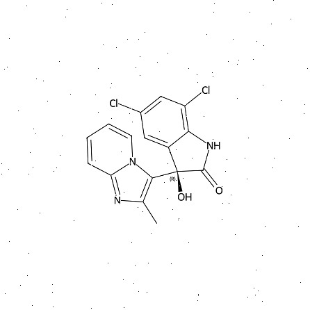 Cc1nc2ccccn2c1[C@@]1(O)C(=O)Nc2c(Cl)cc(Cl)cc21